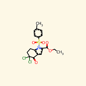 CCOC(=O)c1cc2c(n1S(=O)(=O)c1ccc(C)cc1)CCC(Cl)(Cl)C2=O